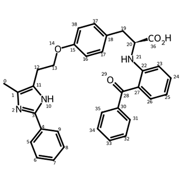 Cc1nc(-c2ccccc2)[nH]c1CCOc1ccc(C[C@H](Nc2ccccc2C(=O)c2ccccc2)C(=O)O)cc1